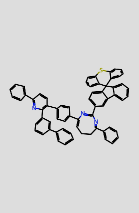 C1=C(c2ccc(-c3ccc(-c4ccccc4)nc3-c3cccc(-c4ccccc4)c3)cc2)/N=C(c2ccc3c(c2)-c2ccccc2C32c3ccccc3Sc3ccccc32)\N=C(\c2ccccc2)CC\1